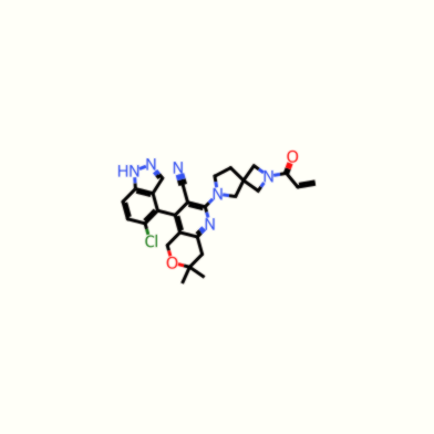 C=CC(=O)N1CC2(CCN(c3nc4c(c(-c5c(Cl)ccc6[nH]ncc56)c3C#N)COC(C)(C)C4)C2)C1